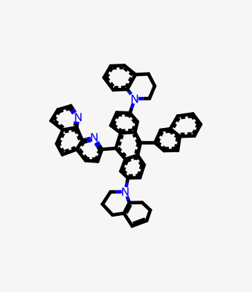 C1=CC2=C(CC1)N(c1ccc3c(-c4ccc5ccccc5c4)c4cc(N5CCCc6ccccc65)ccc4c(-c4ccc5ccc6cccnc6c5n4)c3c1)CCC2